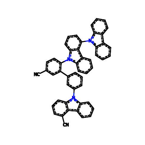 N#Cc1ccc(-n2c3ccccc3c3c(-n4c5ccccc5c5ccccc54)cccc32)c(-c2cccc(-n3c4ccccc4c4c(C#N)cccc43)c2)c1